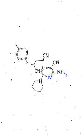 Cc1ccc(CC(C#N)CC(C#N)c2cc(N3CCCCC3)nc(N)c2C#N)cc1